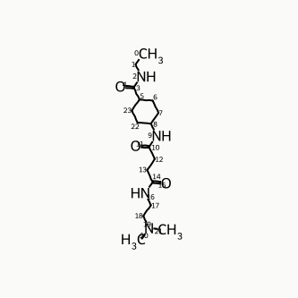 CCNC(=O)C1CCC(NC(=O)CCC(=O)NCCN(C)C)CC1